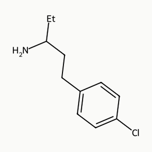 CCC(N)CCc1ccc(Cl)cc1